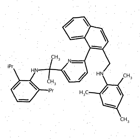 Cc1cc(C)c(NCc2ccc3ccccc3c2-c2cccc(C(C)(C)Nc3c(C(C)C)cccc3C(C)C)n2)c(C)c1